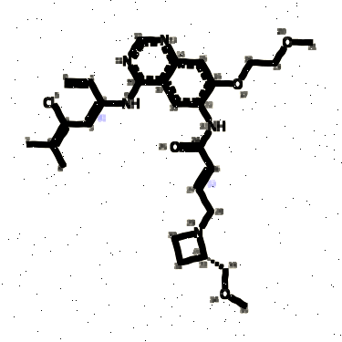 C=C/C(=C\C(Cl)=C(C)C)Nc1ncnc2cc(OCCOC)c(NC(=O)/C=C/CN3CC[C@H]3COC)cc12